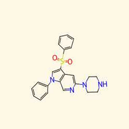 O=S(=O)(c1ccccc1)c1cn(-c2ccccc2)c2cnc(N3CCNCC3)cc12